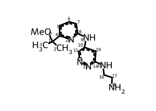 COC(C)(C)c1cccc(Nc2cnnc(NCCN)c2)n1